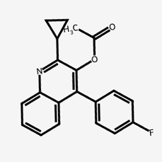 CC(=O)Oc1c(C2CC2)nc2ccccc2c1-c1ccc(F)cc1